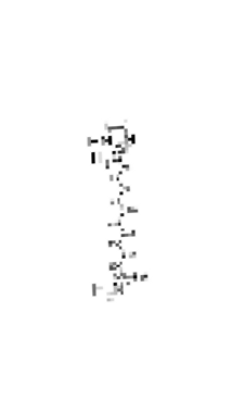 C1=NCCN1.CCCCCCCCCCCC(N)=O